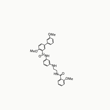 COc1cccc(-c2ccc(OC)c([S+]([O-])Nc3cccc(NCCNC(=O)c4ccccc4OC)c3)c2)c1